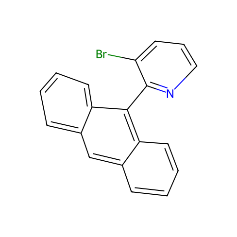 Brc1cccnc1-c1c2ccccc2cc2ccccc12